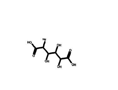 O=C(O)C(O)C(O)C(O)C([18F])C(=O)O